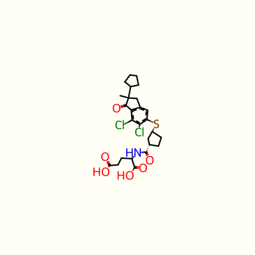 CC1(C2CCCC2)Cc2cc(S[C@H]3CC[C@H](C(=O)NC(CCC(=O)O)C(=O)O)C3)c(Cl)c(Cl)c2C1=O